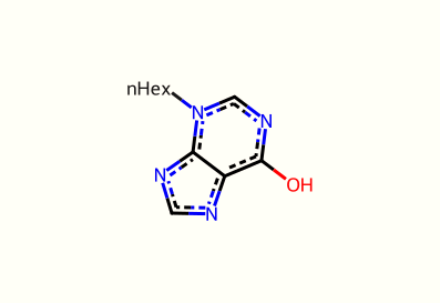 CCCCCCn1cnc(O)c2ncnc1-2